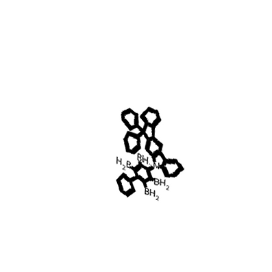 Bc1c(B)c(-n2c3ccccc3c3cc4c(cc32)C(c2ccccc2)(c2ccccc2)c2ccccc2-4)c(B)c(B)c1-c1ccccc1